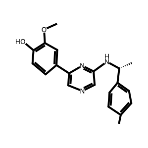 COc1cc(-c2cncc(N[C@H](C)c3ccc(C)cc3)n2)ccc1O